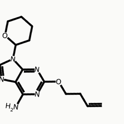 C=CCCOc1nc(N)c2ncn(C3CCCCO3)c2n1